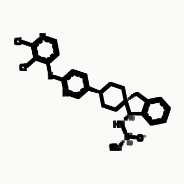 CC(C)(C)[S@@+]([O-])N[C@H]1c2ccccc2C[C@]12CC[C@H](c1ccc(Sc3ccnc(Cl)c3Cl)nc1)CC2